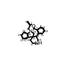 C=C(C)C[N+]1(C(=O)c2ccccc2F)CC2(CCNCC2)c2ccccc21